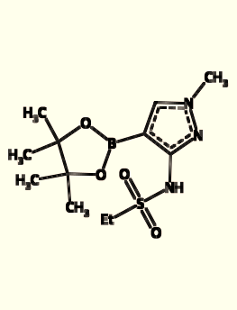 CCS(=O)(=O)Nc1nn(C)cc1B1OC(C)(C)C(C)(C)O1